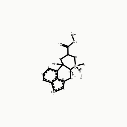 CCCOC(=O)C1C[C@H]2c3cccc4[nH]cc(c34)C[C@@H]2[N+](C)(CCC)C1.[I-]